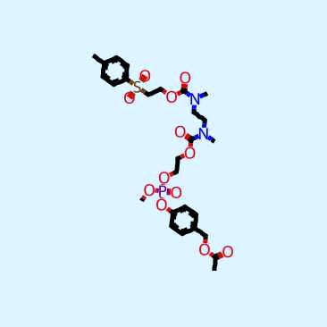 COP(=O)(OCCOC(=O)N(C)CCN(C)C(=O)OCCS(=O)(=O)c1ccc(C)cc1)Oc1ccc(COC(C)=O)cc1